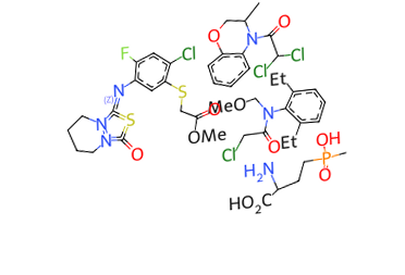 CC1COc2ccccc2N1C(=O)C(Cl)Cl.CCc1cccc(CC)c1N(COC)C(=O)CCl.COC(=O)CSc1cc(/N=c2\sc(=O)n3n2CCCC3)c(F)cc1Cl.CP(=O)(O)CCC(N)C(=O)O